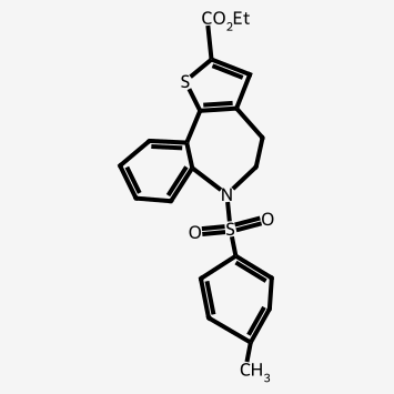 CCOC(=O)c1cc2c(s1)-c1ccccc1N(S(=O)(=O)c1ccc(C)cc1)CC2